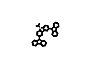 CC(C)n1c2ccc(C3c4ccccc4-c4ccccc43)cc2c2cc(C3c4ccccc4-c4ccccc43)ccc21